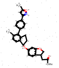 COC(=O)CC1COc2cc(O[C@@H]3CCc4c3ccc(C(F)(F)F)c4-c3ccc(-c4cc(C)on4)cc3)ccc21